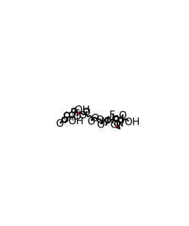 COc1c(N2CCN(C(=O)OCOC(=O)CCC(=O)OCC(=O)[C@@]3(O)CCC4C5CCC6=CC(=O)C=C[C@]6(C)C5[C@@H](O)C[C@@]43C)C(C)C2)c(F)cc2c(=O)c(CO)cn(C3CC3)c12